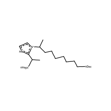 CCCCCCCCCCCCCCCCCC(C)[n+]1cc[nH]c1C(C)CCCCCCC